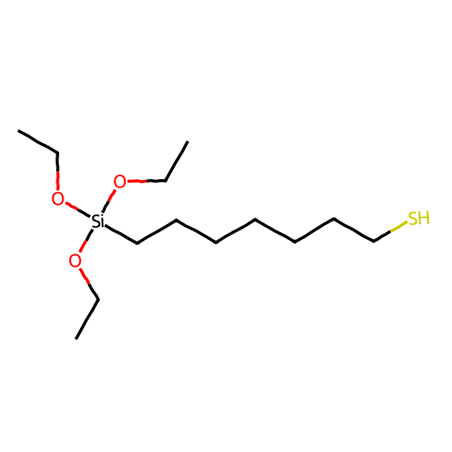 CCO[Si](CCCCCCCS)(OCC)OCC